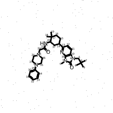 Cn1c(=O)n(CC(C)(C)C)c2ccc(C3CCC(C)(C)C(NC(=O)CN4CCN(c5ccccc5)CC4)C3)nc21